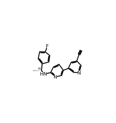 C#Cc1cncc(-c2ccc(N[C@H](C)c3ccc(F)cc3)nc2)c1